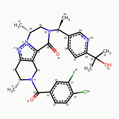 C[C@@H]1Cc2nn3c(c2CN1C(=O)c1ccc(Cl)c(F)c1)C(=O)N([C@@H](C)c1ccc(C(C)(C)O)nc1)C[C@H]3C